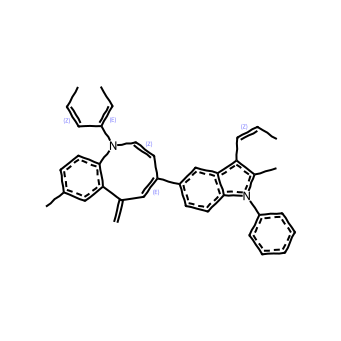 C=C1/C=C(c2ccc3c(c2)c(/C=C\C)c(C)n3-c2ccccc2)\C=C/N(C(/C=C\C)=C/C)c2ccc(C)cc21